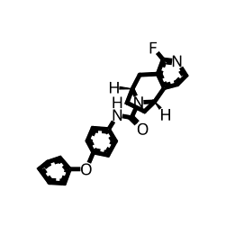 O=C(Nc1ccc(Oc2ccccc2)cc1)N1[C@@H]2CC[C@H]1c1ccnc(F)c1C2